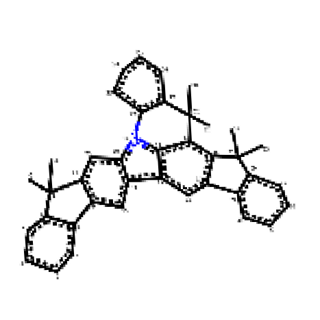 CC1(C)c2ccccc2-c2cc3c4cc5c(c6c4n(c3cc21)-c1ccccc1C6(C)C)C(C)(C)c1ccccc1-5